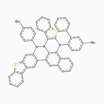 CC(C)(C)c1ccc(N2B3c4c(cc5ccccc5c4N(c4ccc(C(C)(C)C)cc4-c4ccccc4)c4sc5ccccc5c43)-c3cc4c(cc32)sc2ccccc24)cc1